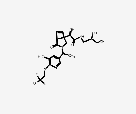 Cc1cc(C(C)N2CC3(C(=N)C(=O)NCC(O)CO)C=CC3C2=O)cnc1OCC(C)(F)F